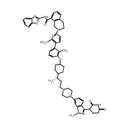 Cc1c(OC2CCC([C@@H](C)CCN3CCN(c4ccc5c(C6CCC(=O)NC6=O)nn(C)c5c4)CC3)CC2)cccc1-c1ccc(N2CCc3cccc(C(=O)Nc4nc5ccccc5s4)c3C2)nc1C(=O)O